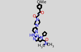 COc1ccc(C(=O)/C=C/C(=O)N2CCCN(c3ccc(Nc4ncc5cc(C(=O)N(C)C)n(C6CCCC6)c5n4)nc3)CC2)cc1